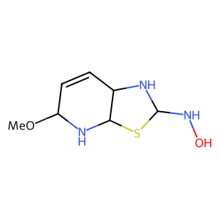 COC1C=CC2NC(NO)SC2N1